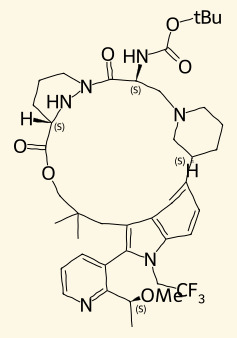 CO[C@@H](C)c1ncccc1-c1c2c3cc(ccc3n1CC(F)(F)F)[C@@H]1CCCN(C1)C[C@H](NC(=O)OC(C)(C)C)C(=O)N1CCC[C@H](N1)C(=O)OCC(C)(C)C2